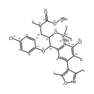 Cc1noc(C)c1-c1nc(C(Oc2ccc(Cl)cc2)C(CN(C)C(=O)OC(C)(C)C)O[Si](C)(C)C(C)(C)C)nc(Cl)c1C